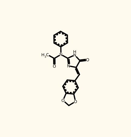 CC(=O)N(C1=N/C(=C\c2ccc3c(c2)OCO3)C(=O)N1)c1ccccc1